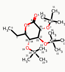 CCC1OC(=O)[C@H](O[Si](C)(C)C)[C@@H](O[Si](C)(C)C)[C@@H]1O[Si](C)(C)C